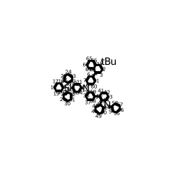 CC(C)(C)c1ccc(-c2ccc(N(c3ccc([Si](c4ccccc4)(c4ccccc4)c4ccccc4)cc3)c3cccc(-c4cccc5c4c4ccccc4n5-c4ccccc4)c3)cc2)c2ccccc12